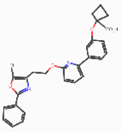 CCc1oc(-c2ccccc2)nc1CCOc1cccc(-c2cccc(OC3(C(=O)O)CCC3)c2)n1